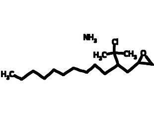 CCCCCCCCCCC(CC1CO1)C(C)(C)Cl.N